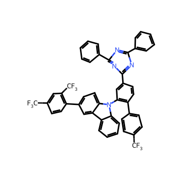 FC(F)(F)c1ccc(-c2ccc(-c3nc(-c4ccccc4)nc(-c4ccccc4)n3)cc2-n2c3ccccc3c3cc(-c4ccc(C(F)(F)F)cc4C(F)(F)F)ccc32)cc1